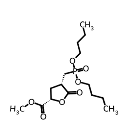 CCCCOP(=O)(C[C@H]1C[C@@H](C(=O)OC)OC1=O)OCCCC